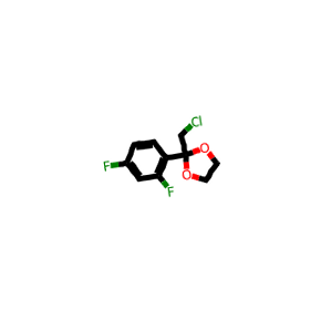 Fc1ccc(C2(CCl)OCCO2)c(F)c1